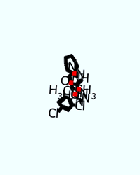 CC(C)(Oc1ccc(Cl)cc1Cl)C(=O)NC1CC2CCC(C1)N2c1ccc(-c2nnn[nH]2)cn1